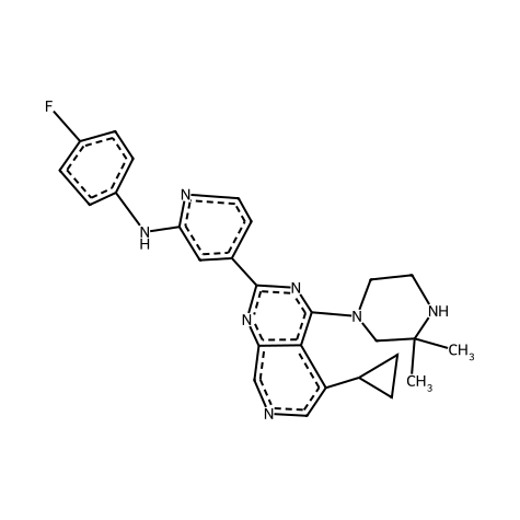 CC1(C)CN(c2nc(-c3ccnc(Nc4ccc(F)cc4)c3)nc3cncc(C4CC4)c23)CCN1